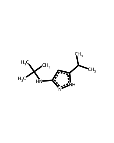 CC(C)c1cc(NC(C)(C)C)n[nH]1